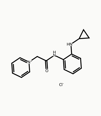 O=C(C[n+]1ccccc1)Nc1ccccc1NC1CC1.[Cl-]